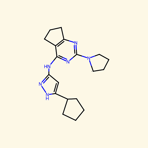 [CH]1CCCN1c1nc2c(c(Nc3cc(C4CCCC4)[nH]n3)n1)CCC2